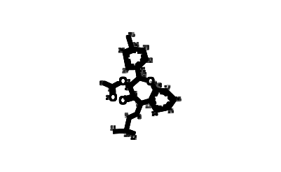 CC(=O)OC1C(=O)C(CCC(C)C)c2ccccc2OC1c1ccc(C)cc1